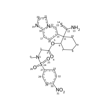 CN(CC(=O)OC1CCCCC1(C(N)=S)c1ccc2nccn2c1)S(=O)(=O)c1ccc([N+](=O)[O-])cc1